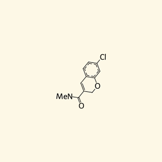 CNC(=O)C1=Cc2ccc(Cl)cc2OC1